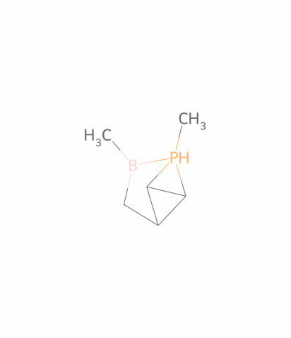 CB1CC2C3C2[PH]13C